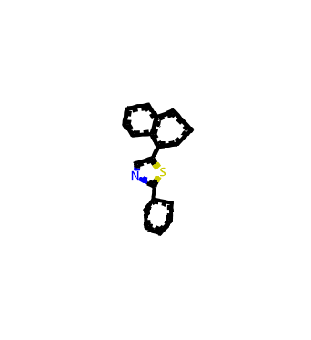 c1ccc(-c2ncc(-c3cccc4ccccc34)s2)cc1